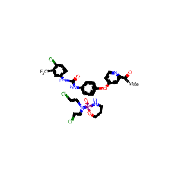 CNC(=O)c1cc(Oc2ccc(NC(=O)Nc3ccc(Cl)c(C(F)(F)F)c3)cc2)ccn1.O=P1(N(CCCl)CCCl)NCCCO1